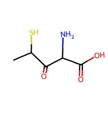 CC(S)C(=O)C(N)C(=O)O